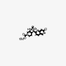 CC(C)(C)OC(=O)N1CCC2C(C1)NS(=O)(=O)N2c1ccc2cnc(Cl)cc2n1